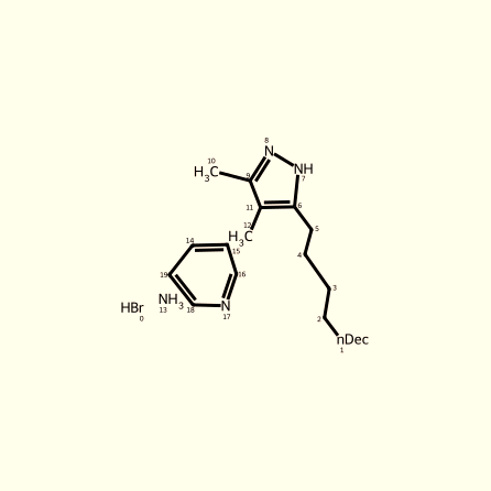 Br.CCCCCCCCCCCCCCc1[nH]nc(C)c1C.N.c1ccncc1